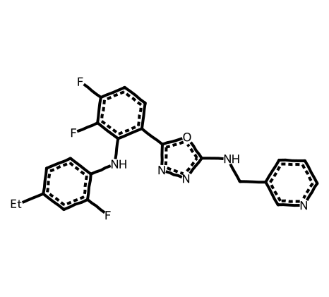 CCc1ccc(Nc2c(-c3nnc(NCc4cccnc4)o3)ccc(F)c2F)c(F)c1